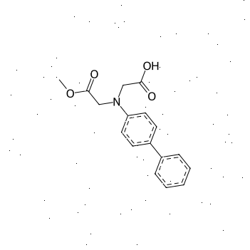 COC(=O)CN(CC(=O)O)c1ccc(-c2ccccc2)cc1